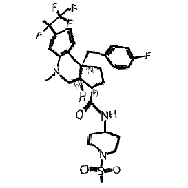 CN1C[C@H]2[C@H](C(=O)NC3CCN(S(C)(=O)=O)CC3)CC[C@@]2(Cc2ccc(F)cc2)c2ccc(C(C)(F)C(F)(F)F)cc21